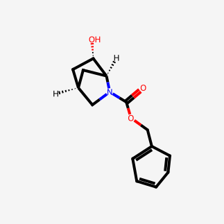 O=C(OCc1ccccc1)N1C[C@H]2C[C@H](O)[C@@H]1C2